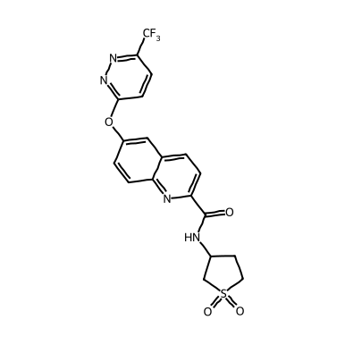 O=C(NC1CCS(=O)(=O)C1)c1ccc2cc(Oc3ccc(C(F)(F)F)nn3)ccc2n1